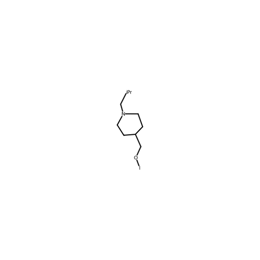 CC(C)CN1CCC(COI)CC1